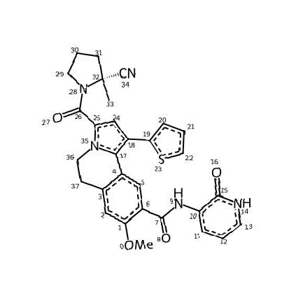 COc1cc2c(cc1C(=O)Nc1ccc[nH]c1=O)-c1c(-c3cccs3)cc(C(=O)N3CCC[C@]3(C)C#N)n1CC2